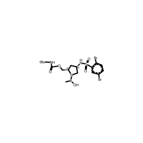 CB(O)N1C[C@H](NS(=O)(=O)c2cc(Br)ccc2Br)C[C@@H]1COC(=O)NC(C)(C)C